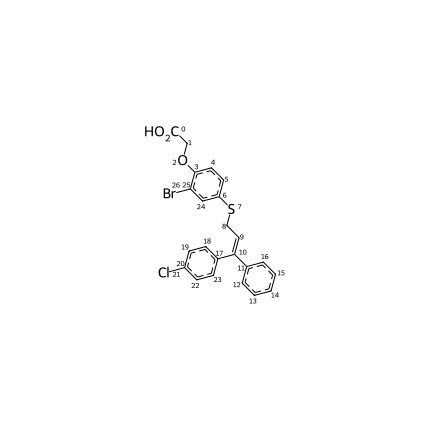 O=C(O)COc1ccc(SCC=C(c2ccccc2)c2ccc(Cl)cc2)cc1Br